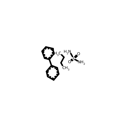 CCCC.NS(N)(=O)=O.c1ccc(-c2ccccc2)cc1